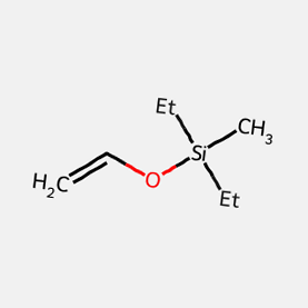 C=CO[Si](C)(CC)CC